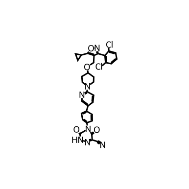 N#Cc1n[nH]c(=O)n(-c2ccc(-c3ccc(N4CCC(OCc5c(-c6c(Cl)cccc6Cl)noc5C5CC5)CC4)nc3)cc2)c1=O